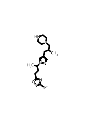 CC(Cc1cnn(C(C)CCc2nc(C(C)C)no2)c1)CN1CCNCC1